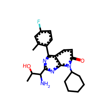 Cc1cc(F)ccc1-c1nc(C(N)C(C)O)nc2c1ccc(=O)n2C1CCCCC1